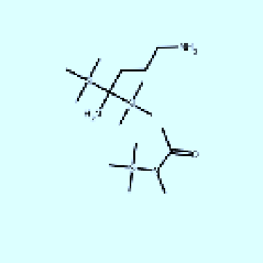 CC(=O)N(C)[Si](C)(C)C.C[Si](C)(C)C(N)(CCCN)[Si](C)(C)C